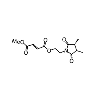 COC(=O)/C=C/C(=O)OCCN1C(=O)C(C)[C@H](C)C1=O